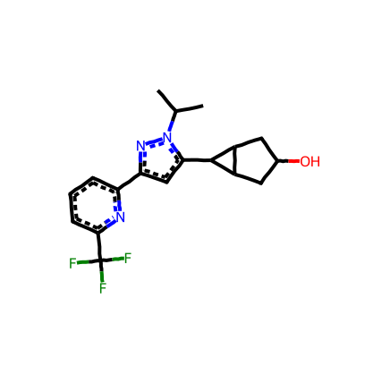 CC(C)n1nc(-c2cccc(C(F)(F)F)n2)cc1C1C2CC(O)CC21